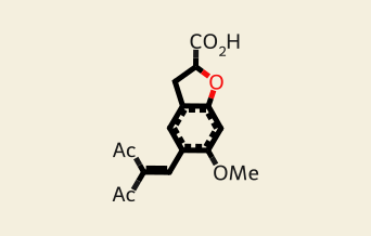 COc1cc2c(cc1C=C(C(C)=O)C(C)=O)CC(C(=O)O)O2